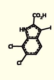 O=C(O)c1[nH]c2c(Cl)c(Cl)ccc2c1I